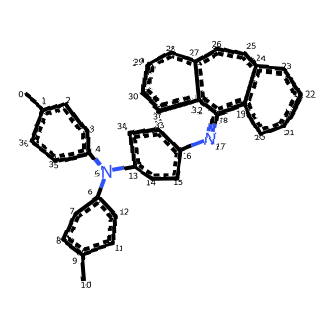 Cc1ccc(N(c2ccc(C)cc2)c2ccc(N=c3c4ccccc4ccc4ccccc34)cc2)cc1